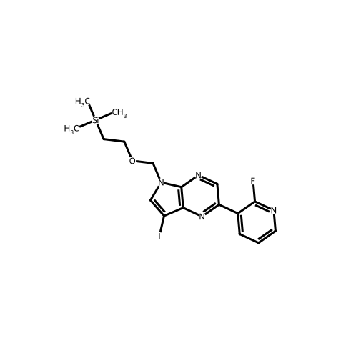 C[Si](C)(C)CCOCn1cc(I)c2nc(-c3cccnc3F)cnc21